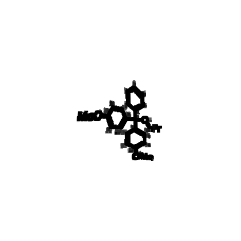 [CH2]CCOC(c1ccccc1)(c1ccc(OC)cc1)c1ccc(OC)cc1